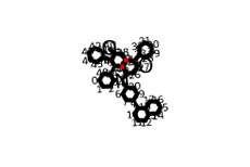 c1ccc(N(c2ccc(-c3cccc4ccccc34)cc2)c2ccc3c(c2)oc2ccccc23)c(-c2cccc3oc4ccccc4c23)c1